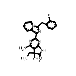 CCC1(C)C(=O)Nc2nc(-c3nc(Cc4ccccc4F)n4ccccc34)nc(N)c21